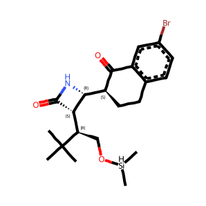 C[SiH](C)OC[C@H]([C@@H]1C(=O)N[C@@H]1[C@@H]1CCc2ccc(Br)cc2C1=O)C(C)(C)C